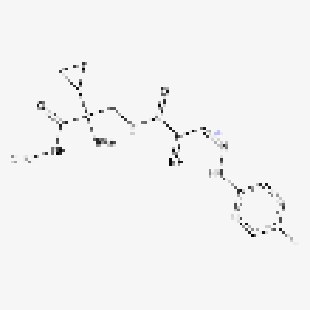 CNC(CNC(=O)C(=N)/C=N\Nc1ccc(C)cc1)(C(=O)NC=O)C1CC1